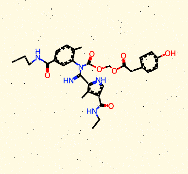 CCCNC(=O)c1ccc(C)c(N(C(=N)c2[nH]cc(C(=O)NCC)c2C)C(=O)OCOC(=O)Cc2ccc(O)cc2)c1